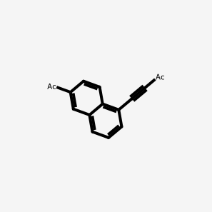 CC(=O)C#Cc1cccc2cc(C(C)=O)ccc12